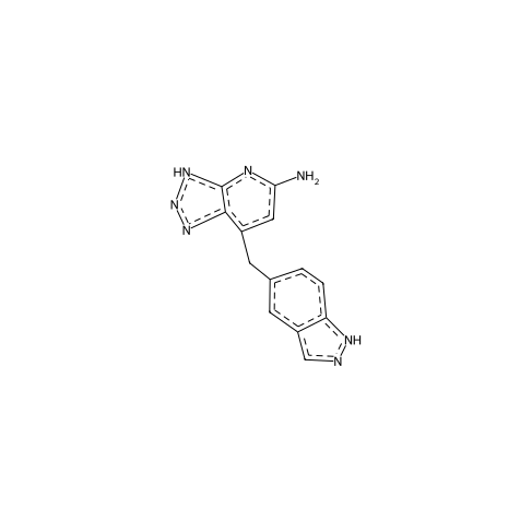 Nc1cc(Cc2ccc3[nH]ncc3c2)c2nn[nH]c2n1